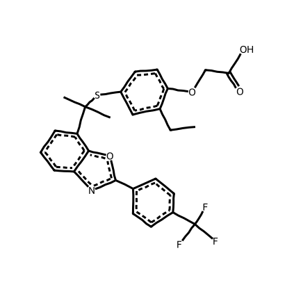 CCc1cc(SC(C)(C)c2cccc3nc(-c4ccc(C(F)(F)F)cc4)oc23)ccc1OCC(=O)O